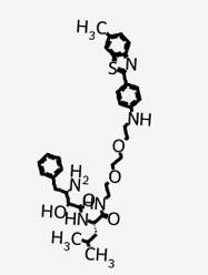 Cc1ccc2nc(-c3ccc(NCCOCCOCCNC(=O)[C@H](CC(C)C)NC(=O)[C@@H](O)[C@@H](N)Cc4ccccc4)cc3)sc2c1